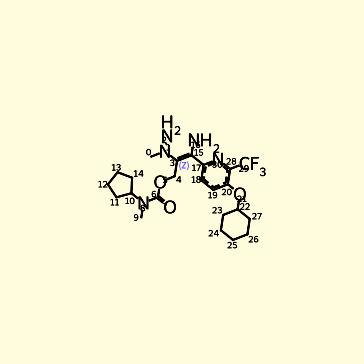 CN(N)/C(COC(=O)N(C)C1CCCC1)=C(\N)c1ccc(OC2CCCCC2)c(C(F)(F)F)n1